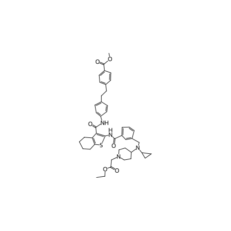 CCOC(=O)CN1CCC(N(Cc2cccc(C(=O)Nc3sc4c(c3C(=O)Nc3ccc(CCc5ccc(C(=O)OC)cc5)cc3)CCCC4)c2)C2CC2)CC1